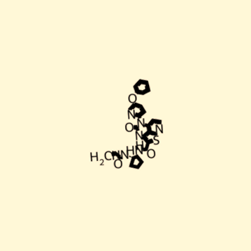 C=CC(=O)N[C@H]1CCC[C@H]1NC(=O)c1sc2nccc3c2c1NC(=O)N3c1ccc(Oc2ccccc2)cn1